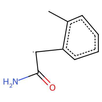 Cc1ccccc1[CH]C(N)=O